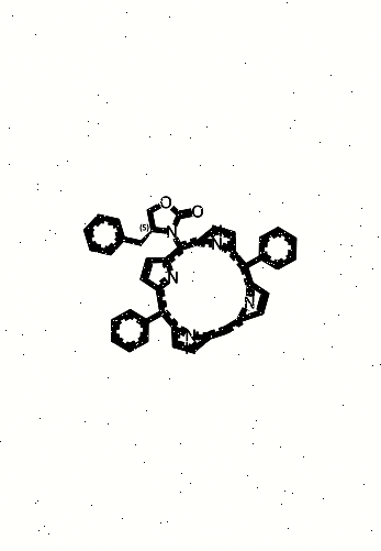 O=C1OC[C@H](Cc2ccccc2)N1c1c2nc(c(-c3ccccc3)c3ccc(cc4nc(c(-c5ccccc5)c5ccc1[nH]5)C=C4)[nH]3)C=C2